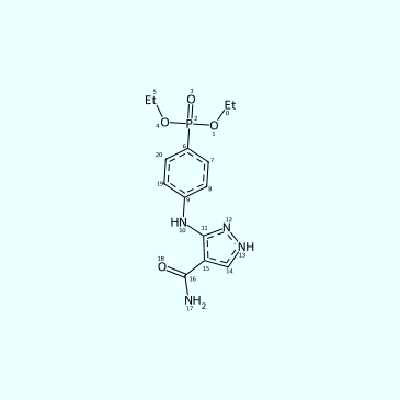 CCOP(=O)(OCC)c1ccc(Nc2n[nH]cc2C(N)=O)cc1